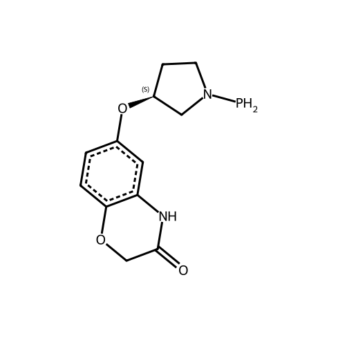 O=C1COc2ccc(O[C@H]3CCN(P)C3)cc2N1